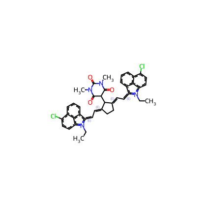 CCn1/c(=C/C=C2\CC/C(=C\C=c3/c4cccc5c(Cl)ccc(c54)n3CC)C2C2C(=O)N(C)C(=O)N(C)C2=O)c2cccc3c(Cl)ccc1c32